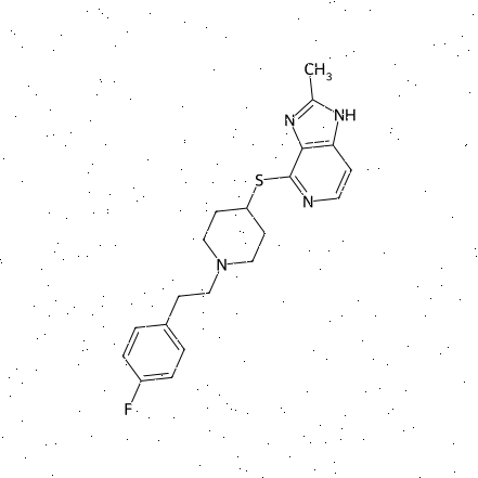 Cc1nc2c(SC3CCN(CCc4ccc(F)cc4)CC3)nccc2[nH]1